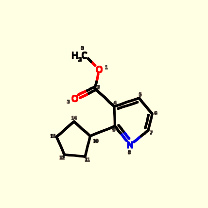 COC(=O)c1cccnc1C1CCCC1